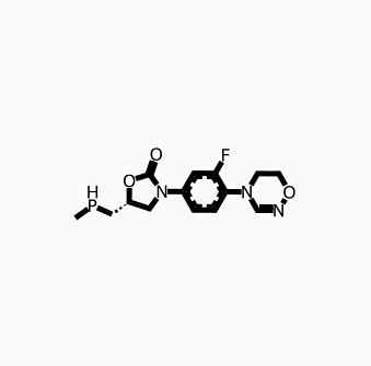 CPC[C@H]1CN(c2ccc(N3C=NOCC3)c(F)c2)C(=O)O1